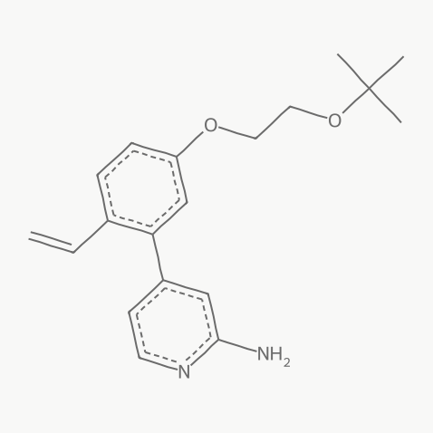 C=Cc1ccc(OCCOC(C)(C)C)cc1-c1ccnc(N)c1